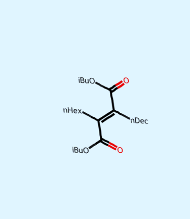 CCCCCCCCCCC(C(=O)OCC(C)C)=C(CCCCCC)C(=O)OCC(C)C